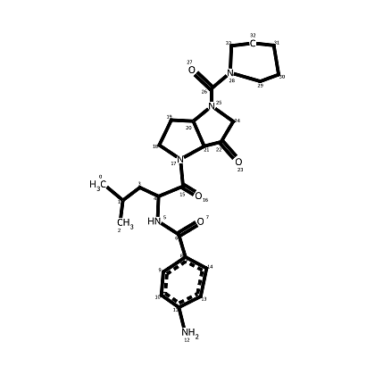 CC(C)CC(NC(=O)c1ccc(N)cc1)C(=O)N1CCC2C1C(=O)CN2C(=O)N1CCCCC1